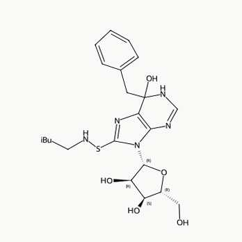 CCC(C)CNSc1nc2c(n1[C@@H]1O[C@H](CO)[C@@H](O)[C@H]1O)N=CNC2(O)Cc1ccccc1